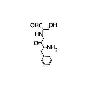 N[C@@H](Cc1ccccc1)C(=O)CN[C@H](C=O)CO